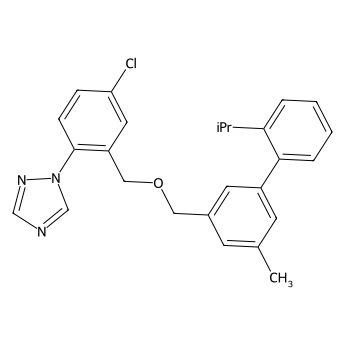 Cc1cc(COCc2cc(Cl)ccc2-n2cncn2)cc(-c2ccccc2C(C)C)c1